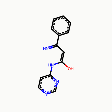 N=C(/C=C(/O)Nc1ccncn1)c1ccccc1